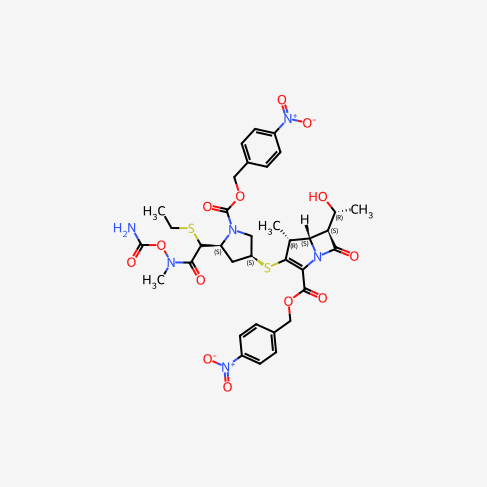 CCSC(C(=O)N(C)OC(N)=O)[C@@H]1C[C@H](SC2=C(C(=O)OCc3ccc([N+](=O)[O-])cc3)N3C(=O)[C@H]([C@@H](C)O)[C@H]3[C@H]2C)CN1C(=O)OCc1ccc([N+](=O)[O-])cc1